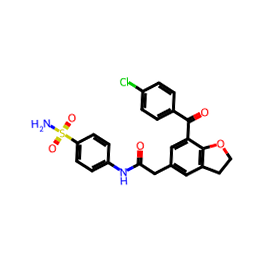 NS(=O)(=O)c1ccc(NC(=O)Cc2cc3c(c(C(=O)c4ccc(Cl)cc4)c2)OCC3)cc1